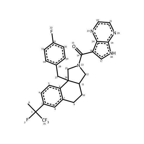 CC(F)(c1ccc2c(c1)CCC1CN(C(=O)c3c[nH]c4nccnc34)CC21Cc1ccc(F)cc1)C(F)(F)F